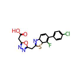 O=C(O)Cc1nnc(CC2=NC3C=CC(c4ccc(Cl)cc4)=C(F)C3S2)o1